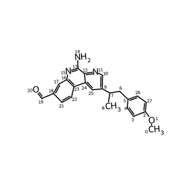 COc1ccc(CC(C)c2cnc3c(N)nc4cc(C=O)ccc4c3c2)cc1